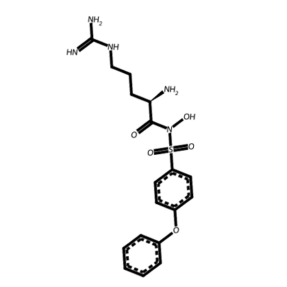 N=C(N)NCCC[C@@H](N)C(=O)N(O)S(=O)(=O)c1ccc(Oc2ccccc2)cc1